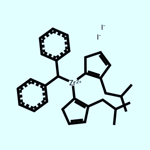 CC(C)CC1=[C]([Zr+2]([C]2=C(CC(C)C)C=CC2)[CH](c2ccccc2)c2ccccc2)CC=C1.[I-].[I-]